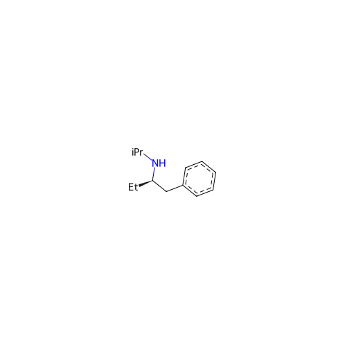 CC[C@H](Cc1ccccc1)NC(C)C